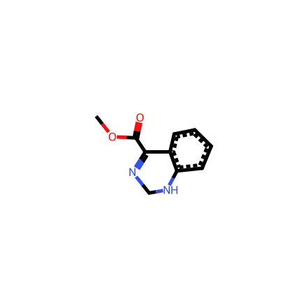 COC(=O)C1=NCNc2ccccc21